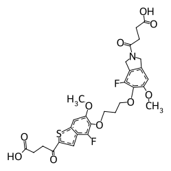 COc1cc2c(c(F)c1OCCCOc1c(OC)cc3sc(C(=O)CCC(=O)O)cc3c1F)CN(C(=O)CCC(=O)O)C2